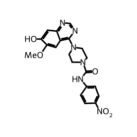 COc1cc2c(N3CCN(C(=O)Nc4ccc([N+](=O)[O-])cc4)CC3)ncnc2cc1O